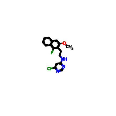 COc1cc2ccccc2c(F)c1CCNc1cc(Cl)ncn1